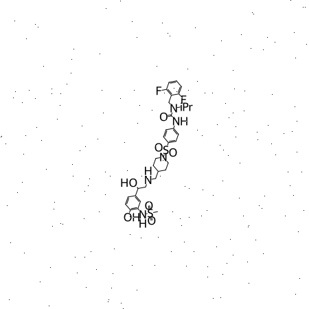 CC(C)N(Cc1c(F)cccc1F)C(=O)Nc1ccc(S(=O)(=O)N2CCC(CNC[C@H](O)c3ccc(O)c(NS(C)(=O)=O)c3)CC2)cc1